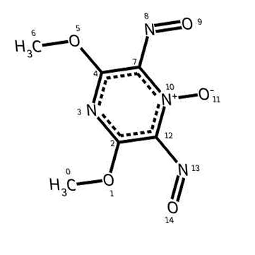 COc1nc(OC)c(N=O)[n+]([O-])c1N=O